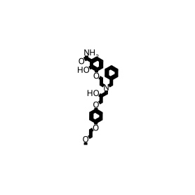 COCCOc1ccc(OCC(O)CN(CCOc2cccc(C(N)=O)c2O)Cc2ccccc2)cc1